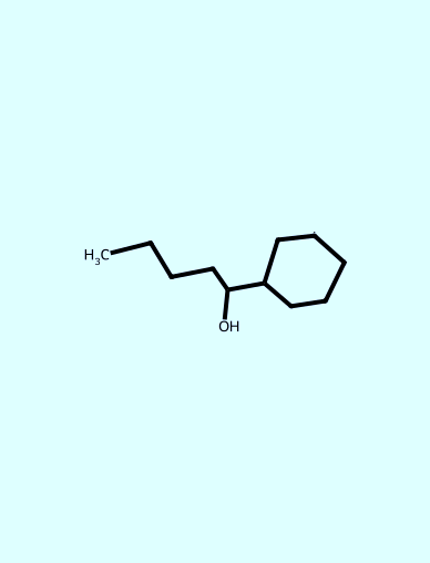 CCCCC(O)C1C[CH]CCC1